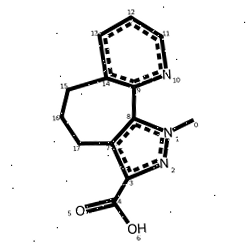 Cn1nc(C(=O)O)c2c1-c1ncccc1CCC2